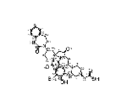 O=CCC1(N2CCC(C3CCN(CC(=O)O)CC3)CC2)CC(N2CCc3ccccc3NC2=O)CC[N@+]1(Cc1cc(Br)c(O)c(Br)c1)C(=O)[O-]